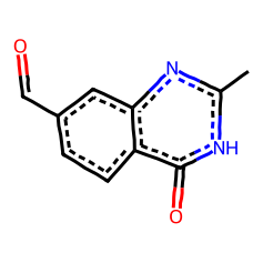 Cc1nc2cc(C=O)ccc2c(=O)[nH]1